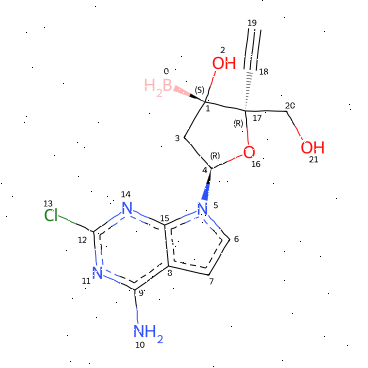 B[C@]1(O)C[C@H](n2ccc3c(N)nc(Cl)nc32)O[C@]1(C#C)CO